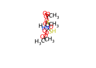 Cc1oc(=O)oc1COC(=O)SC(C)(C)C(=O)N[C@@H](CS)C(=O)OCOC(=O)C(C)C